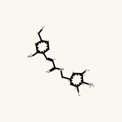 CCCc1cc(CF)ccc1/C=C/C(=O)NCc1cc(F)c(N)c(F)c1